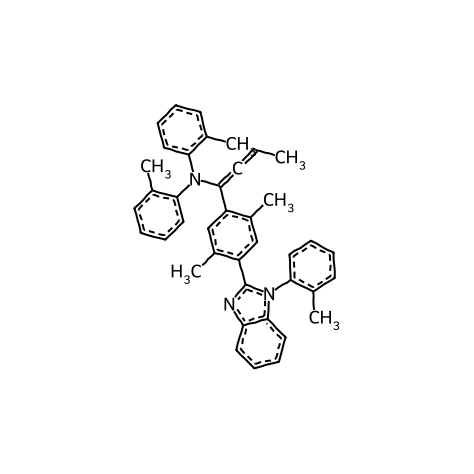 CC=C=C(c1cc(C)c(-c2nc3ccccc3n2-c2ccccc2C)cc1C)N(c1ccccc1C)c1ccccc1C